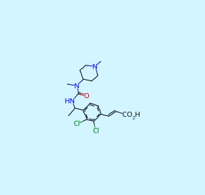 CC(NC(=O)N(C)C1CCN(C)CC1)c1ccc(C=CC(=O)O)c(Cl)c1Cl